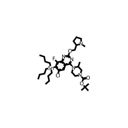 CCC[CH2][Sn]([CH2]CCC)([CH2]CCC)[c]1c(Cl)cc2c(N3CCN(C(=O)OC(C)(C)C)CC3C)nc(OCC3CCCN3C)nc2c1F